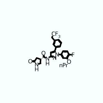 CCCOc1cc(-n2nc(NC(=O)[C@@H]3CNC(=O)C3)cc2-c2cccc(CC(F)(F)F)c2)ccc1F